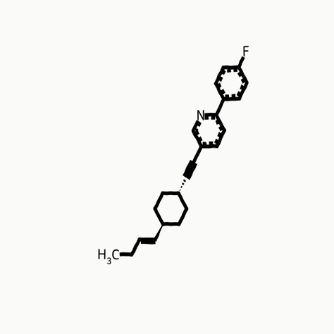 CC/C=C/[C@H]1CC[C@H](C#Cc2ccc(-c3ccc(F)cc3)nc2)CC1